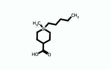 CCCCC[Si]1(C)CCC(C(=O)O)CC1